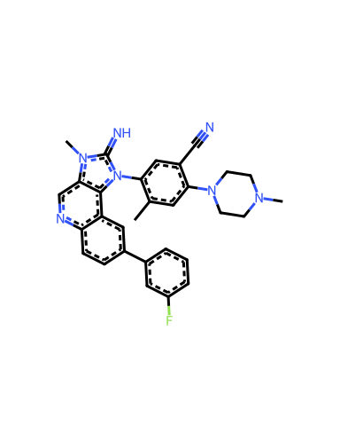 Cc1cc(N2CCN(C)CC2)c(C#N)cc1-n1c(=N)n(C)c2cnc3ccc(-c4cccc(F)c4)cc3c21